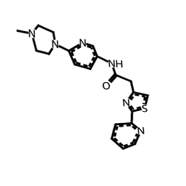 CN1CCN(c2ccc(NC(=O)Cc3csc(-c4ccccn4)n3)cn2)CC1